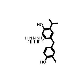 CC(C)c1cc(Cc2ccc(O)c(I)c2)ccc1O.CN.CN.CN